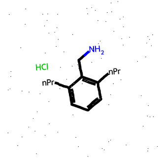 CCCc1cccc(CCC)c1CN.Cl